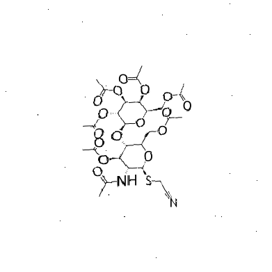 CC(=O)N[C@@H]1[C@@H](OC(C)=O)[C@H](O[C@@H]2O[C@H](COC(C)=O)[C@H](OC(C)=O)[C@H](OC(C)=O)[C@H]2OC(C)=O)[C@@H](COC(C)=O)O[C@H]1SCC#N